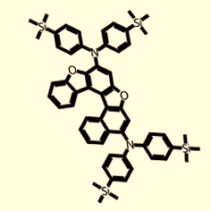 C[Si](C)(C)c1ccc(N(c2ccc([Si](C)(C)C)cc2)c2cc3oc4cc(N(c5ccc([Si](C)(C)C)cc5)c5ccc([Si](C)(C)C)cc5)c5oc6ccccc6c5c4c3c3ccccc23)cc1